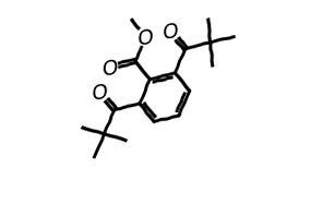 COC(=O)c1c(C(=O)C(C)(C)C)cccc1C(=O)C(C)(C)C